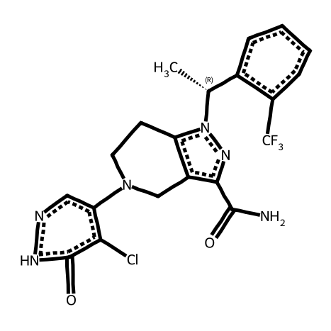 C[C@H](c1ccccc1C(F)(F)F)n1nc(C(N)=O)c2c1CCN(c1cn[nH]c(=O)c1Cl)C2